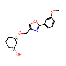 COc1cccc(-c2nc(CO[C@H]3CCC[C@@H](O)C3)co2)c1